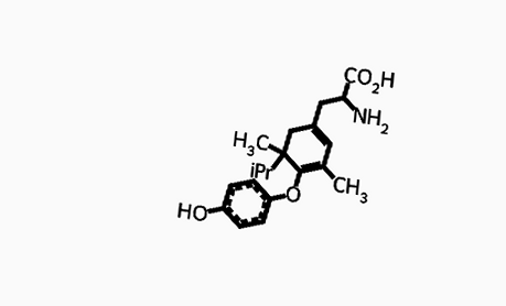 CC1=C(Oc2ccc(O)cc2)C(C)(C(C)C)CC(CC(N)C(=O)O)=C1